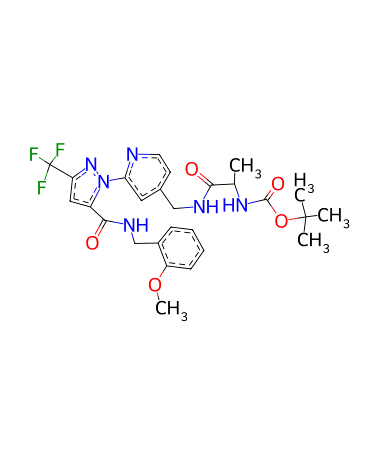 COc1ccccc1CNC(=O)c1cc(C(F)(F)F)nn1-c1cc(CNC(=O)C(C)NC(=O)OC(C)(C)C)ccn1